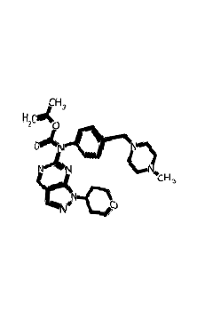 C=C(C)OC(=O)N(c1ccc(CN2CCN(C)CC2)cc1)c1ncc2cnn(C3CCOCC3)c2n1